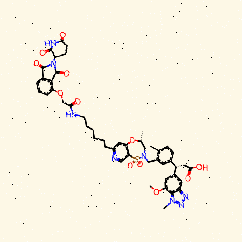 COc1cc([C@@H](CC(=O)O)c2ccc(C)c(CN3C[C@@H](C)Oc4cc(CCCCCCNC(=O)COc5cccc6c5C(=O)N(C5CCC(=O)NC5=O)C6=O)ncc4S3(=O)=O)c2)cc2nnn(C)c12